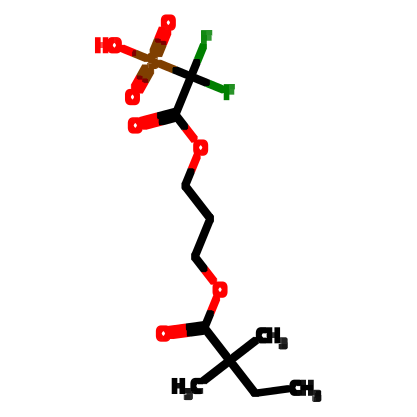 CCC(C)(C)C(=O)OCCCOC(=O)C(F)(F)S(=O)(=O)O